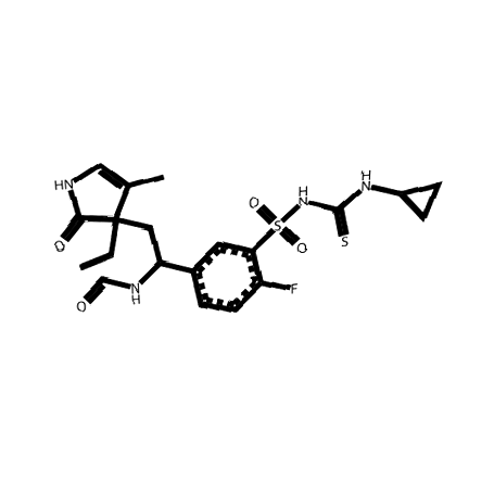 CCC1(CC(NC=O)c2ccc(F)c(S(=O)(=O)NC(=S)NC3CC3)c2)C(=O)NC=C1C